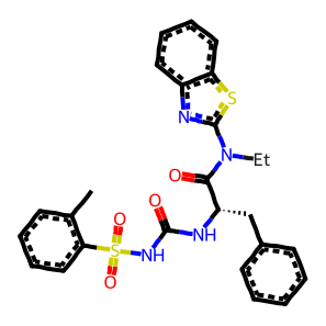 CCN(C(=O)[C@H](Cc1ccccc1)NC(=O)NS(=O)(=O)c1ccccc1C)c1nc2ccccc2s1